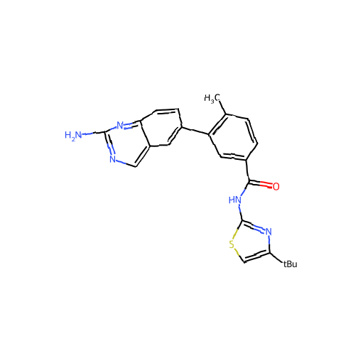 Cc1ccc(C(=O)Nc2nc(C(C)(C)C)cs2)cc1-c1ccc2nc(N)ncc2c1